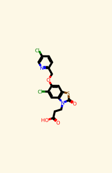 O=C(O)CCn1c(=O)sc2cc(OCc3ccc(Cl)cn3)c(Cl)cc21